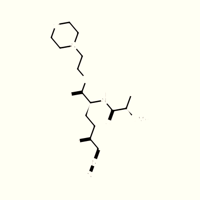 CO[C@H](C)C(=O)N[C@@H](CCC(=O)C=[N+]=[N-])C(=O)OCCN1CCOCC1